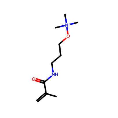 C=C(C)C(=O)NCCCO[N+](C)(C)C